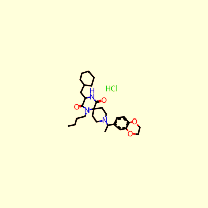 CCCCN1C(=O)C(CC2CCCCC2)NC(=O)C12CCN(C(C)c1ccc3c(c1)OCCO3)CC2.Cl